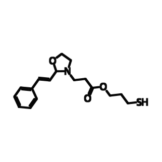 O=C(CCN1CCOC1/C=C/c1ccccc1)OCCCS